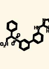 O=C(O)CC(c1ccccc1)S(=O)(=O)c1cccc(-c2cccc(Nc3ncc[nH]3)c2)c1